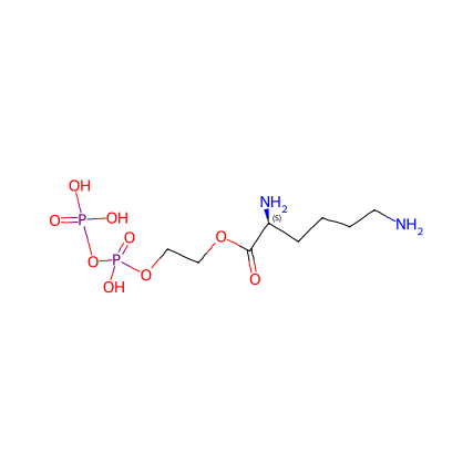 NCCCC[C@H](N)C(=O)OCCOP(=O)(O)OP(=O)(O)O